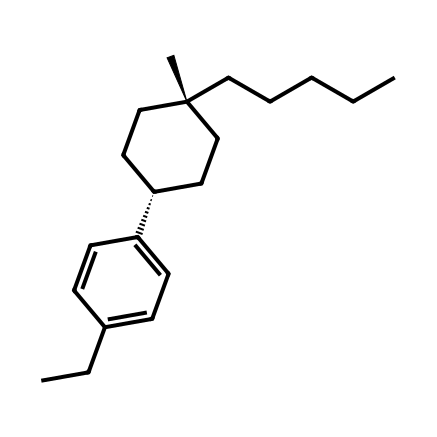 CCCCC[C@]1(C)CC[C@H](c2ccc(CC)cc2)CC1